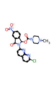 CN1CCN(C(=O)OC2c3ccc([N+](=O)[O-])cc3C(=O)N2c2ccc3ccc(Cl)nc3n2)CC1